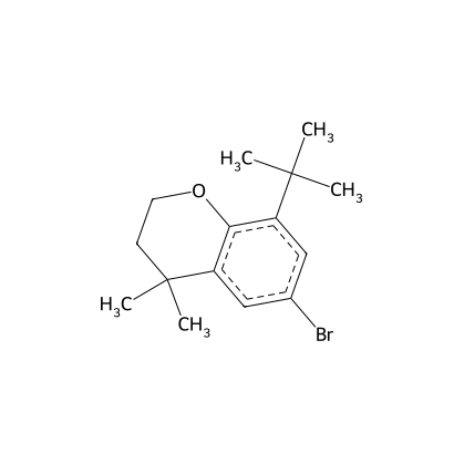 CC(C)(C)c1cc(Br)cc2c1OCCC2(C)C